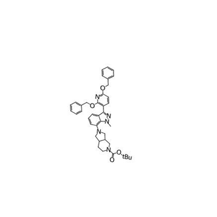 Cn1nc(-c2ccc(OCc3ccccc3)nc2OCc2ccccc2)c2cccc(N3CC4CCN(C(=O)OC(C)(C)C)CC4C3)c21